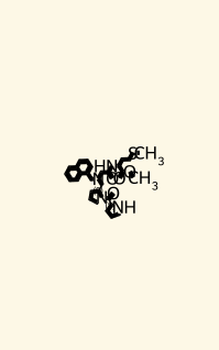 COC(=O)C(CCSC)NC(=O)CN(Cc1cccc2ccccc12)C[C@@H]1CCCN1C(=O)[C@@H]1CCCN1